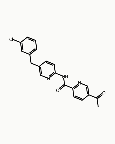 CC(=O)c1ccc(C(=O)Nc2ccc(Cc3cccc(Cl)c3)cn2)nc1